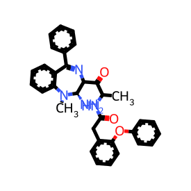 CC(NC(=O)Cc1ccccc1Oc1ccccc1)C(=O)C1N=C(c2ccccc2)c2ccccc2N(C)[C@@H]1N